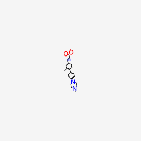 COC(=O)/C=C/c1ccc(-c2ccc(N3CCN(C)CC3)cc2)c(C)c1